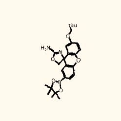 CC(C)(C)COc1ccc2c(c1)C1(COC(N)=N1)c1cc(B3OC(C)(C)C(C)(C)O3)ccc1O2